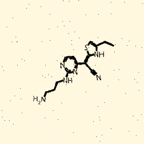 CCC1=CS/C(=C(/C#N)c2ccnc(NCCCN)n2)N1